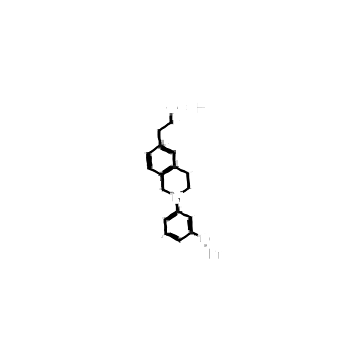 CC(C)Oc1cccc(N2CCc3cc(CCC(=O)O)ccc3C2)c1